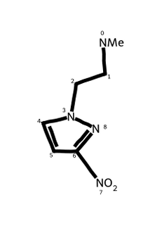 CNCCn1ccc([N+](=O)[O-])n1